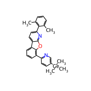 Cc1cccc(C)c1-c1ccc2c(n1)oc1c(-c3cc[c]([Ge]([CH3])([CH3])[CH3])cn3)cccc12